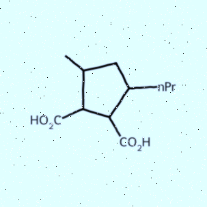 CCCC1CC(C)C(C(=O)O)C1C(=O)O